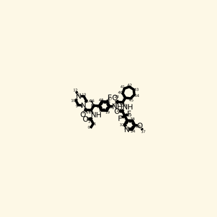 CCC(=O)N[C@@H](C(=O)N1CCN(C)CC1)[C@@H](C)c1ccc(NC(=O)[C@@H](NC(=O)C(F)(F)c2cncc(OC)c2)C2CCCCCC2)c(F)c1